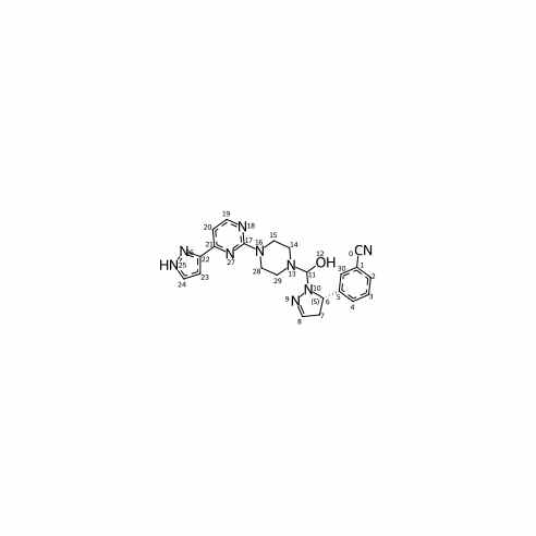 N#Cc1cccc([C@@H]2CC=NN2C(O)N2CCN(c3nccc(-c4cc[nH]n4)n3)CC2)c1